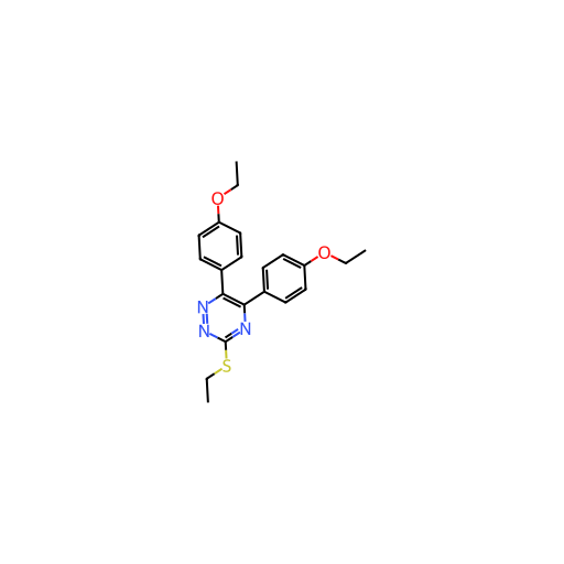 CCOc1ccc(-c2nnc(SCC)nc2-c2ccc(OCC)cc2)cc1